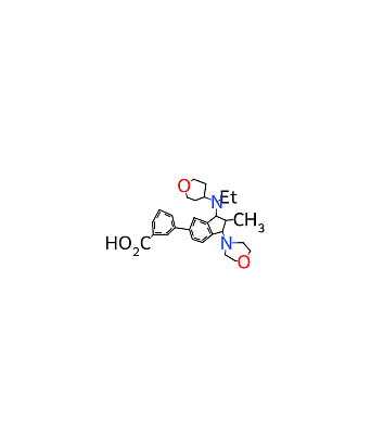 CCN(C1CCOCC1)C1c2cc(-c3cccc(C(=O)O)c3)ccc2C(N2CCOCC2)C1C